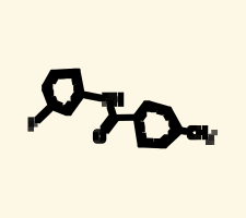 [CH2]c1ccc(C(=O)Nc2cccc(F)c2)cc1